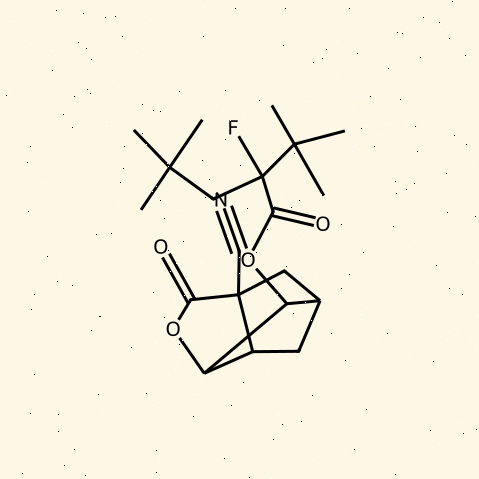 CC(C)(C)CC(F)(C(=O)OC1C2CC3C1OC(=O)C3(C#N)C2)C(C)(C)C